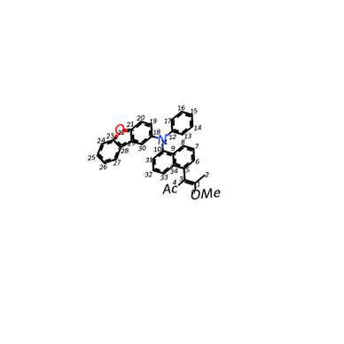 CO/C(C)=C(\C(C)=O)c1cccc2c(N(c3ccccc3)c3ccc4oc5ccccc5c4c3)cccc12